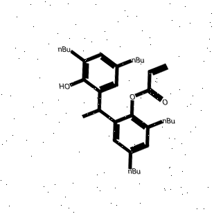 C=CC(=O)Oc1c(CCCC)cc(CCCC)cc1C(C)c1cc(CCCC)cc(CCCC)c1O